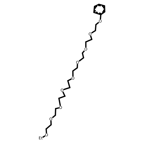 CCOCCOCCOCCOCCOCCOCCOCCOCCOc1ccccc1